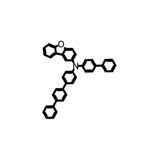 c1ccc(-c2ccc(-c3ccc(N(c4ccc(-c5ccccc5)cc4)c4ccc5oc6ccccc6c5c4)cc3)cc2)cc1